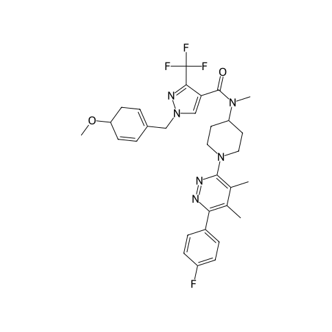 COC1C=CC(Cn2cc(C(=O)N(C)C3CCN(c4nnc(-c5ccc(F)cc5)c(C)c4C)CC3)c(C(F)(F)F)n2)=CC1